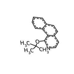 CC(C)(C)Oc1nccc2ccc3ccccc3c12